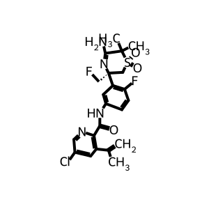 C=C(C)c1cc(Cl)cnc1C(=O)Nc1ccc(F)c([C@]2(CF)CS(=O)(=O)C(C)(C)C(N)=N2)c1